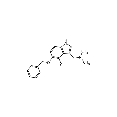 CN(C)Cc1c[nH]c2ccc(OCc3ccccc3)c(Cl)c12